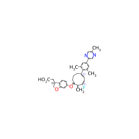 C=C1/C(F)=C\C=C(\c2c(C)cc(-c3cnc(C)cn3)cc2C)CCC[C@H]1Oc1ccc2c(c1)OC[C@H]2CC(=O)O